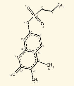 CCCS(=O)(=O)Oc1ccc2c(C)c(C)c(=O)oc2c1